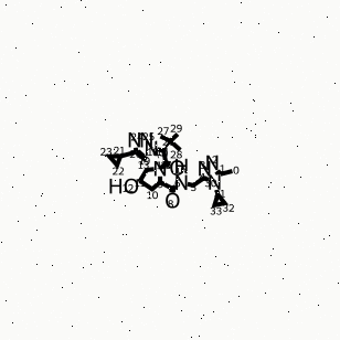 Cc1nnc(CNC(=O)C2CC(O)CN2C(=O)[C@@H](n2cc(C3CC3)nn2)C(C)(C)C)n1C1CC1